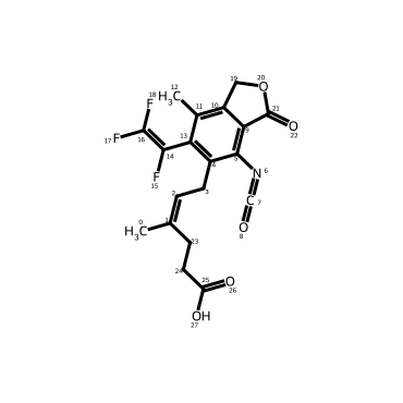 CC(=CCc1c(N=C=O)c2c(c(C)c1C(F)=C(F)F)COC2=O)CCC(=O)O